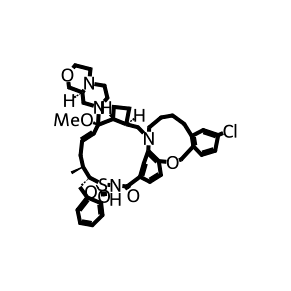 CO[C@]1(N2CCN3CCOC[C@@H]3C2)/C=C/C[C@H](C)[C@@H](Cc2ccccc2)S(=O)(=O)NC(=O)c2ccc3c(c2)N(CCCCc2cc(Cl)ccc2CO3)C[C@@H]2CC[C@H]21